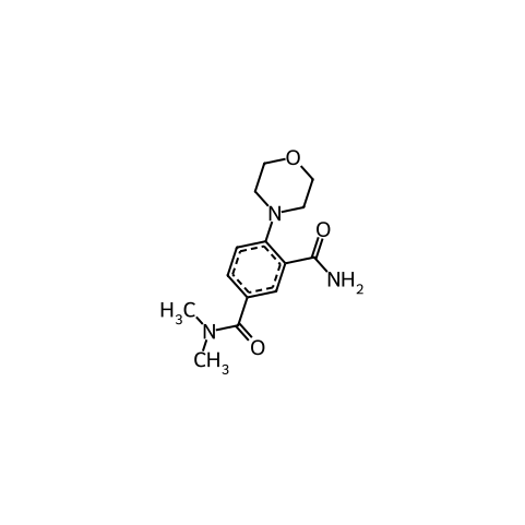 CN(C)C(=O)c1ccc(N2CCOCC2)c(C(N)=O)c1